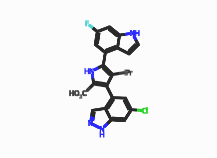 CC(C)c1c(-c2cc(F)cc3[nH]ccc23)[nH]c(C(=O)O)c1-c1cc(Cl)cc2[nH]ncc12